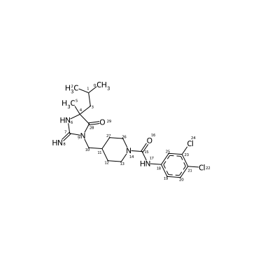 CC(C)CC1(C)NC(=N)N(CC2CCN(C(=O)Nc3ccc(Cl)c(Cl)c3)CC2)C1=O